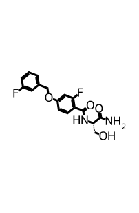 NC(=O)[C@H](CO)NC(=O)c1ccc(OCc2cccc(F)c2)cc1F